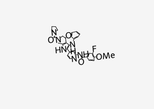 COc1ccc(C(=O)Nc2cc(-c3[nH]c4c(c3Nc3ccccc3)C(=O)CN(C(=O)N3CCCC3)C4)ccn2)cc1F